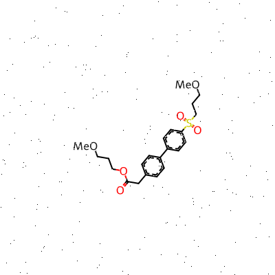 COCCCOC(=O)Cc1ccc(-c2ccc(S(=O)(=O)CCCOC)cc2)cc1